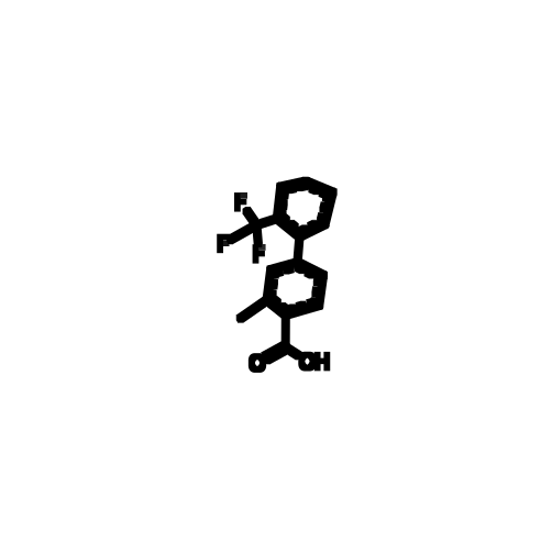 Cc1cc(-c2ccccc2C(F)(F)F)ccc1C(=O)O